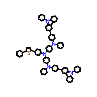 c1ccc(-c2ccc(-c3ccc(N(c4ccc(N(c5ccccc5)c5ccc(-c6ccc7c(c6)c6ccccc6n7-c6ccccc6)cc5)cc4)c4ccc(N(c5ccccc5)c5ccc(-c6ccc7c(c6)c6ccccc6n7-c6ccccc6)cc5)cc4)cc3)s2)cc1